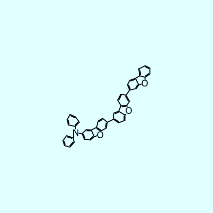 c1ccc(N(c2ccccc2)c2ccc3oc4cc(-c5ccc6oc7cc(-c8ccc9c(c8)oc8ccccc89)ccc7c6c5)ccc4c3c2)cc1